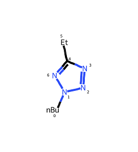 CCCCn1nnc(CC)n1